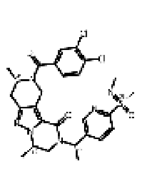 CN=[S@@](C)(=O)c1ccc([C@@H](C)N2C[C@@H](C)n3nc4c(c3C2=O)CN(C(=O)c2ccc(Cl)c(Cl)c2)[C@H](C)C4)cn1